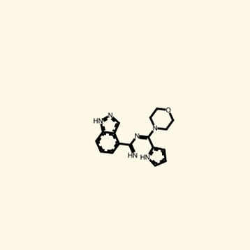 N=C(/N=C(\c1ccc[nH]1)N1CCOCC1)c1cccc2[nH]ncc12